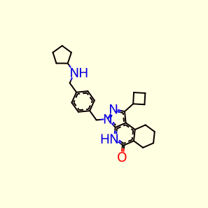 O=c1[nH]c2c(c(C3CCC3)nn2Cc2ccc(CNC3CCCC3)cc2)c2c1CCCC2